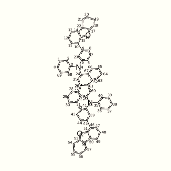 c1ccc(N(c2cccc(-c3cccc4c3oc3ccccc34)c2)c2cc3c4ccccc4c(N(c4ccccc4)c4cccc(-c5cccc6c5oc5ccccc56)c4)cc3c3ccccc23)cc1